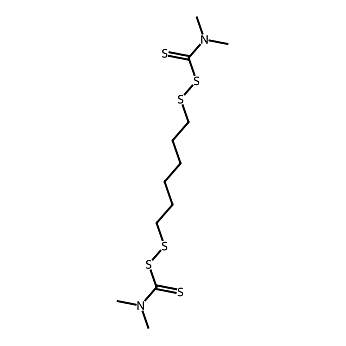 CN(C)C(=S)SSCCCCCCSSC(=S)N(C)C